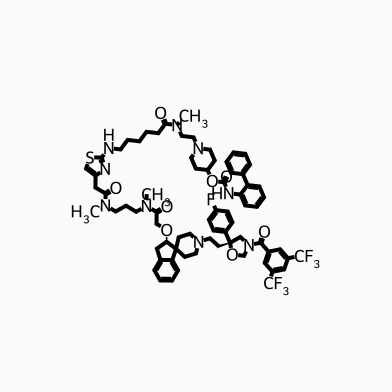 CN(CCN1CCC(OC(=O)Nc2ccccc2-c2ccccc2)CC1)C(=O)CCCCCNc1nc(CC(=O)N(C)CCCN(C)C(=O)CO[C@H]2Cc3ccccc3C23CCN(CC[C@@]2(c4ccc(F)cc4)CN(C(=O)c4cc(C(F)(F)F)cc(C(F)(F)F)c4)CO2)CC3)cs1